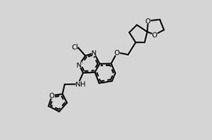 Clc1nc(NCc2ccco2)c2cccc(OCC3CCC4(C3)OCCO4)c2n1